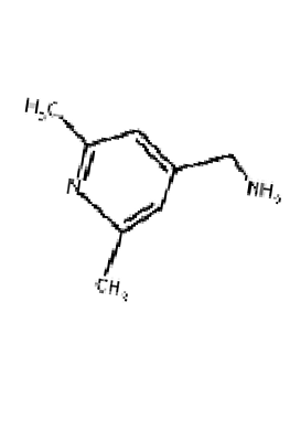 Cc1cc(CN)cc(C)n1